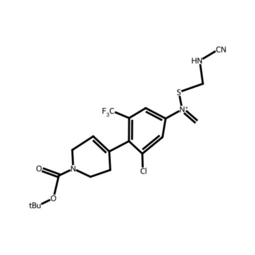 C=[N+](SCNC#N)c1cc(Cl)c(C2=CCN(C(=O)OC(C)(C)C)CC2)c(C(F)(F)F)c1